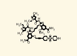 CCn1nc(C)cc1C(=O)Nc1nc2cc(C(N)=O)cc(OC)c2n1C/C=C/Cn1c(NC(=O)c2cc(C)nn2CC)nc2cc(C(N)=O)cc(OCC#CC3CCN(S(=O)(=O)N4CCNCC4)CC3)c21